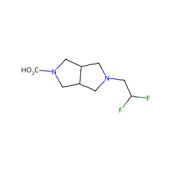 O=C(O)N1CC2CN(CC(F)F)CC2C1